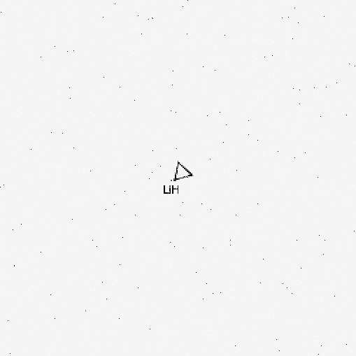 [CH]1CC1.[LiH]